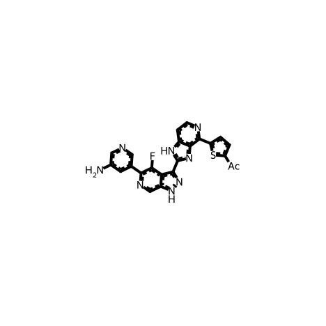 CC(=O)c1ccc(-c2nccc3[nH]c(-c4n[nH]c5cnc(-c6cncc(N)c6)c(F)c45)nc23)s1